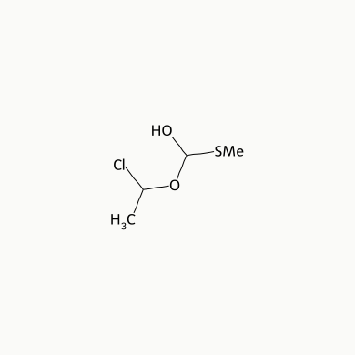 CSC(O)OC(C)Cl